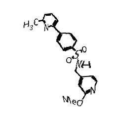 COc1cc(CNS(=O)(=O)c2ccc(-c3cccc(C)n3)cc2)ccn1